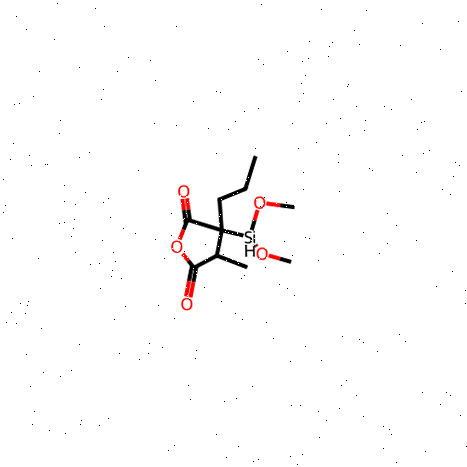 CCCC1([SiH](OC)OC)C(=O)OC(=O)C1C